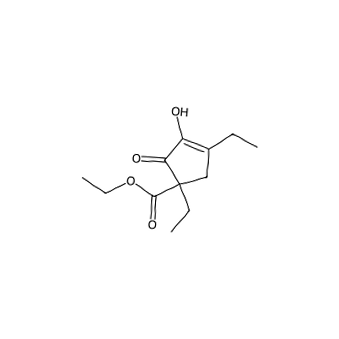 CCOC(=O)C1(CC)CC(CC)=C(O)C1=O